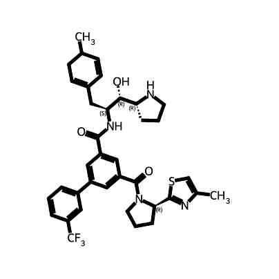 Cc1csc([C@H]2CCCN2C(=O)c2cc(C(=O)N[C@@H](CC3=CCC(C)C=C3)[C@H](O)[C@H]3CCCN3)cc(-c3cccc(C(F)(F)F)c3)c2)n1